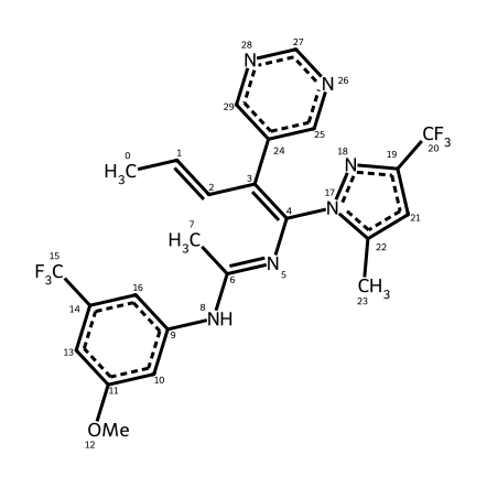 CC=C/C(=C(\N=C(/C)Nc1cc(OC)cc(C(F)(F)F)c1)n1nc(C(F)(F)F)cc1C)c1cncnc1